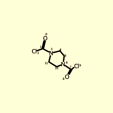 O=C(Cl)N1CCN(C(=O)Cl)CC1